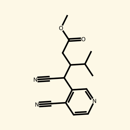 COC(=O)CC(C(C)C)C(C#N)c1cnccc1C#N